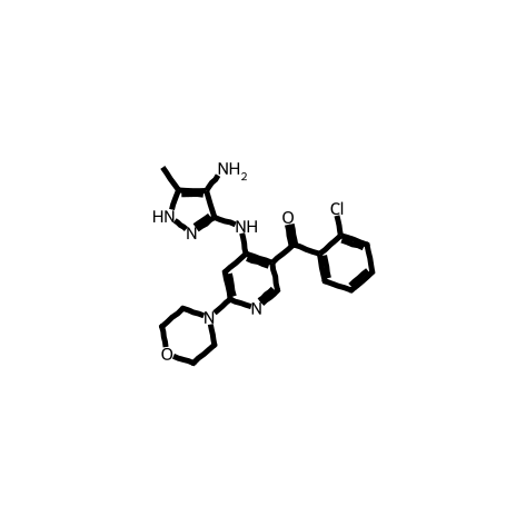 Cc1[nH]nc(Nc2cc(N3CCOCC3)ncc2C(=O)c2ccccc2Cl)c1N